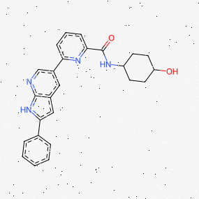 O=C(NC1CCC(O)CC1)c1cccc(-c2cnc3[nH]c(-c4ccccc4)cc3c2)n1